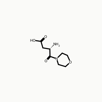 N[C@@H](CC(=O)O)C(=O)N1CCOCC1